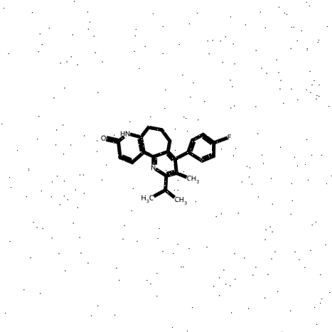 Cc1c(C(C)C)nc2c(c1-c1ccc(F)cc1)CCCc1[nH]c(=O)ccc1-2